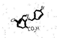 O=C(O)c1ccc(Cl)c2cnn(Cc3ccc(Br)cc3)c12